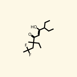 CCC(CC)/C(O)=C/C(=O)C(C)(CC)CC(C)(F)F